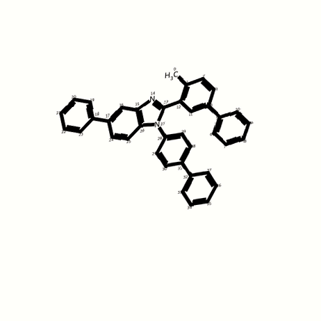 Cc1ccc(-c2ccccc2)cc1-c1nc2cc(-c3ccccc3)ccc2n1-c1ccc(-c2ccccc2)cc1